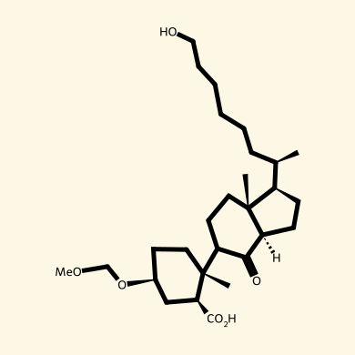 COCO[C@H]1CC[C@](C)(C2CC[C@]3(C)[C@@H]([C@H](C)CCCCCCO)CC[C@H]3C2=O)[C@@H](C(=O)O)C1